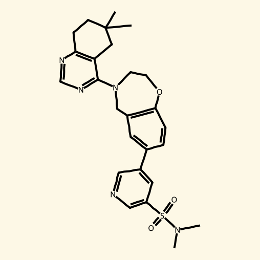 CN(C)S(=O)(=O)c1cncc(-c2ccc3c(c2)CN(c2ncnc4c2CC(C)(C)CC4)CCO3)c1